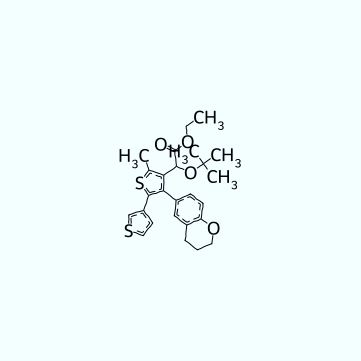 CCOC(=O)C(OC(C)(C)C)c1c(C)sc(-c2ccsc2)c1-c1ccc2c(c1)CCCO2